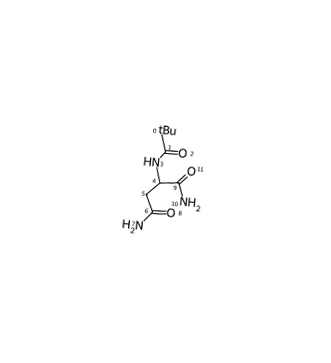 CC(C)(C)C(=O)NC(CC(N)=O)C(N)=O